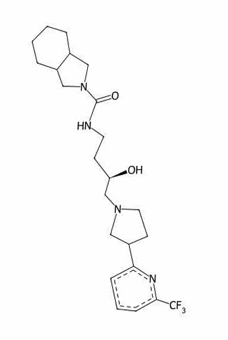 O=C(NCC[C@@H](O)CN1CCC(c2cccc(C(F)(F)F)n2)C1)N1CC2CCCCC2C1